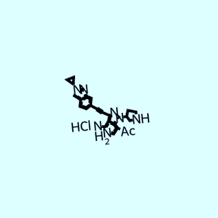 CC(=O)c1cnc(N)c2c(C#Cc3ccc4cn(C5CC5)nc4c3)nn(C3CCNC3)c12.Cl